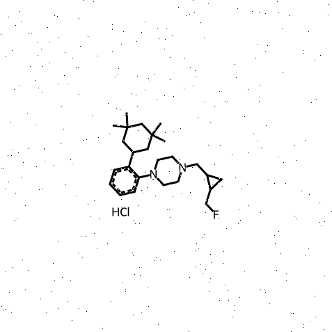 CC1(C)CC(c2ccccc2N2CCN(CC3CC3CF)CC2)CC(C)(C)C1.Cl